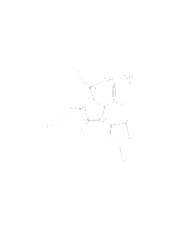 C#CCn1c(=O)n(C2CCC(CCC)O2)c2nc(N)[nH]c(=O)c21